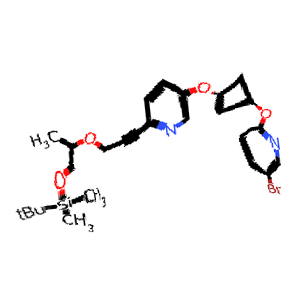 CC(CO[Si](C)(C)C(C)(C)C)OCC#Cc1ccc(O[C@H]2C[C@H](Oc3ccc(Br)cn3)C2)cn1